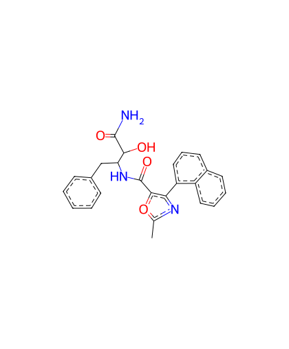 Cc1nc(-c2cccc3ccccc23)c(C(=O)NC(Cc2ccccc2)C(O)C(N)=O)o1